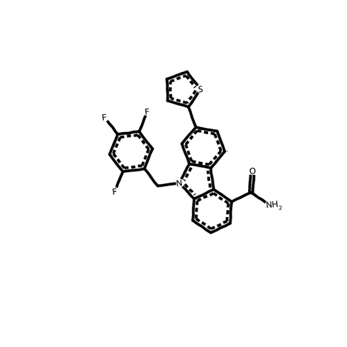 NC(=O)c1cccc2c1c1[c]cc(-c3cccs3)cc1n2Cc1cc(F)c(F)cc1F